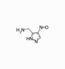 NCc1[nH]ncc1N=O